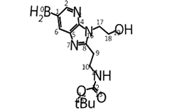 Bc1cnc2c(c1)nc(CCNC(=O)OC(C)(C)C)n2CCO